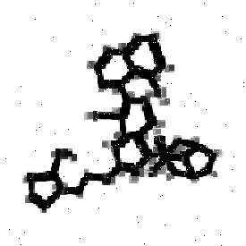 Nc1nccn1CCOc1nc(N2CC3CCC(C2)N3C(=O)O)c2cnc(-c3cccc4cccc(Cl)c34)c(F)c2n1